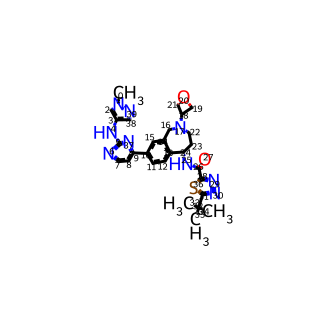 Cn1cc(Nc2nccc(-c3ccc4c(c3)CN(C3COC3)CC[C@@H]4NC(=O)c3nnc(C(C)(C)C)s3)n2)cn1